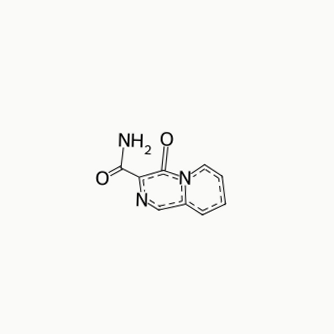 NC(=O)c1ncc2ccccn2c1=O